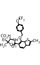 CCC(C)(C)[C@H](NC(=O)C1=C(OCc2ccc(OC(F)(F)F)cc2)C2SC(C)=CC2C=C1)C(=O)O